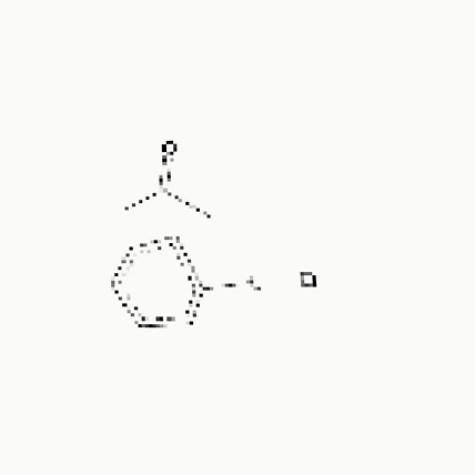 CC(C)=O.Clc1ccccc1.[Cr]